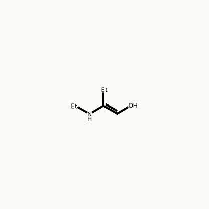 CCN/C(=C/O)CC